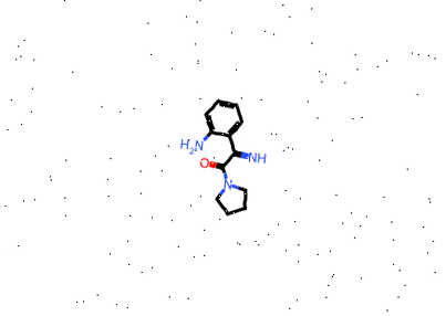 N=C(C(=O)N1CCCC1)c1ccccc1N